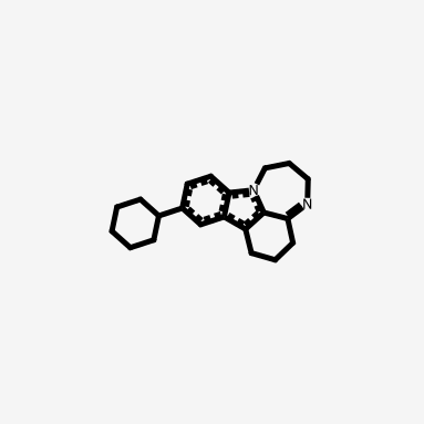 c1cc2c(cc1C1CCCCC1)c1c3n2CCCN=C3CCC1